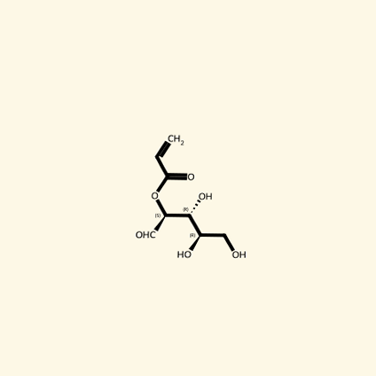 C=CC(=O)O[C@H](C=O)[C@H](O)[C@H](O)CO